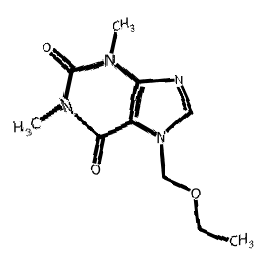 CCOCn1cnc2c1c(=O)n(C)c(=O)n2C